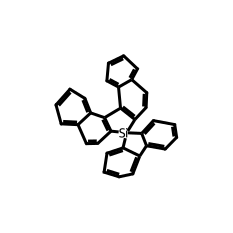 c1ccc2c(c1)-c1ccccc1[Si]21c2ccc3ccccc3c2-c2c1ccc1ccccc21